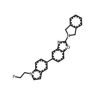 FCCn1ccc2cc(-c3ccc4oc(N5Cc6ccccc6C5)nc4c3)ccc21